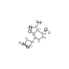 [2H]c1noc2c(-c3cnn(C)c3)ccc(OC)c12